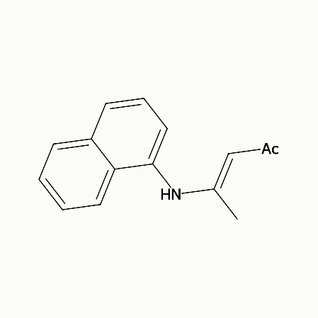 CC(=O)C=C(C)Nc1cccc2ccccc12